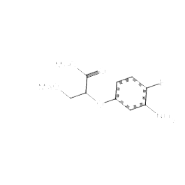 COCC(Oc1ccc(F)c([N+](=O)[O-])c1)C(=O)OC